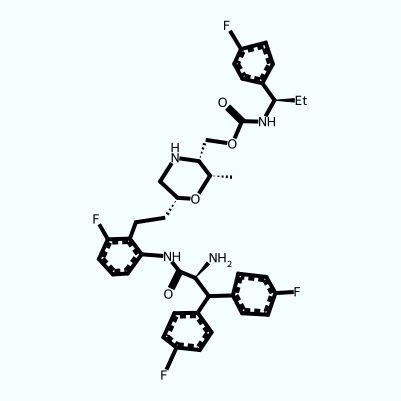 CC[C@@H](NC(=O)OC[C@H]1NC[C@@H](CCc2c(F)cccc2NC(=O)[C@@H](N)C(c2ccc(F)cc2)c2ccc(F)cc2)O[C@H]1C)c1ccc(F)cc1